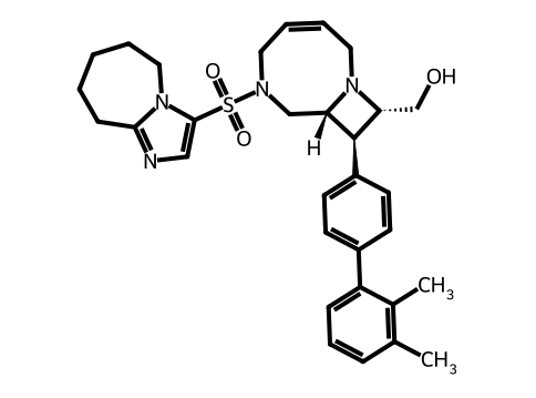 Cc1cccc(-c2ccc([C@@H]3[C@@H](CO)N4C/C=C\CN(S(=O)(=O)c5cnc6n5CCCCC6)C[C@@H]34)cc2)c1C